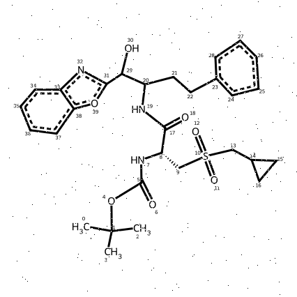 CC(C)(C)OC(=O)N[C@@H](CS(=O)(=O)CC1CC1)C(=O)NC(CCc1ccccc1)C(O)c1nc2ccccc2o1